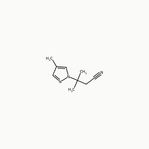 Cc1cnn(C(C)(C)CC#N)c1